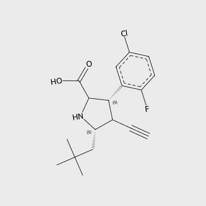 C#CC1[C@@H](c2cc(Cl)ccc2F)C(C(=O)O)N[C@H]1CC(C)(C)C